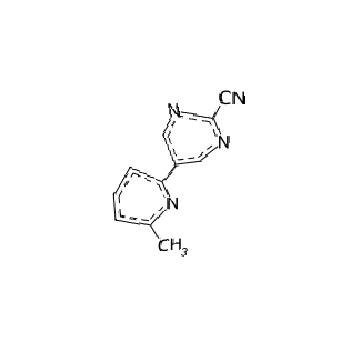 Cc1cccc(-c2cnc(C#N)nc2)n1